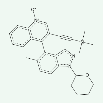 Cc1ccc2c(cnn2C2CCCCO2)c1-c1c(C#C[Si](C)(C)C)c[n+]([O-])c2ccccc12